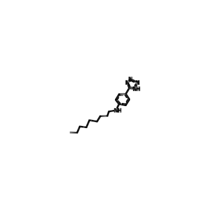 CCCCCCCCCNc1ccc(-c2nnn[nH]2)cc1